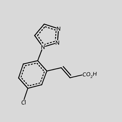 O=C(O)/C=C/c1cc(Cl)ccc1-n1ccnn1